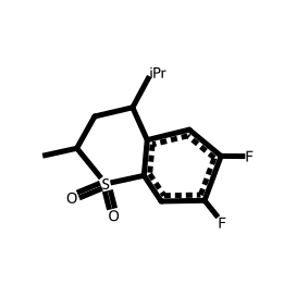 CC(C)C1CC(C)S(=O)(=O)c2cc(F)c(F)cc21